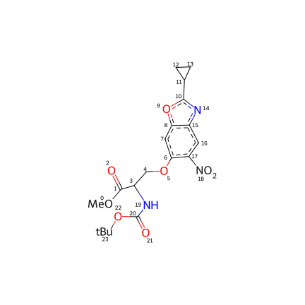 COC(=O)C(COc1cc2oc(C3CC3)nc2cc1[N+](=O)[O-])NC(=O)OC(C)(C)C